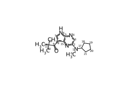 CN(c1cnc2[nH]cc(C(=O)C(C)(C)C)c2n1)C1CCCC1